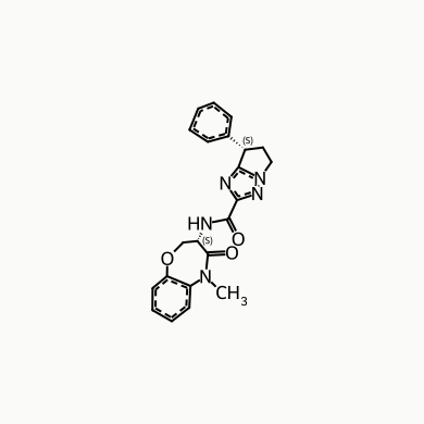 CN1C(=O)[C@@H](NC(=O)c2nc3n(n2)CC[C@H]3c2ccccc2)COc2ccccc21